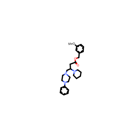 COc1cccc(COC(=O)CC(CN2CCN(c3ccccc3)CC2)N2CCCCC2)c1